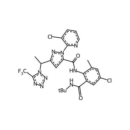 Cc1cc(Cl)cc(C(=O)NC(C)(C)C)c1NC(=O)c1cc(C(C)n2nnnc2C(F)(F)F)nn1-c1ncccc1Cl